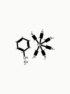 N#[C][Fe]([C]#N)([C]#N)([C]#N)([C]#N)[C]#N.Oc1ccccc1.[KH]